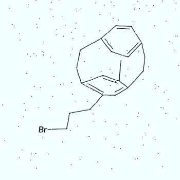 Cc1cc2c(CCCBr)cc1CCc1ccc(cc1)CC2